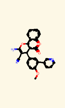 COc1ccc(C2C(C#N)=C(N)Oc3c2c(=O)oc2ccccc32)cc1-c1cccnc1